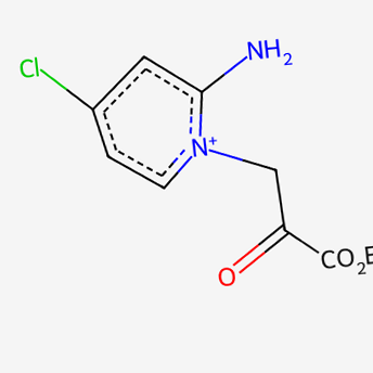 CCOC(=O)C(=O)C[n+]1ccc(Cl)cc1N